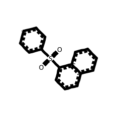 O=S(=O)(c1cc[c]cc1)c1cccc2ccccc12